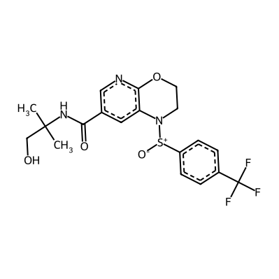 CC(C)(CO)NC(=O)c1cnc2c(c1)N([S+]([O-])c1ccc(C(F)(F)F)cc1)CCO2